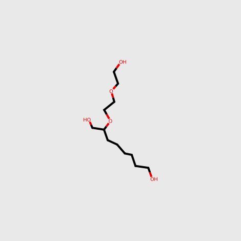 OCCCCCCC(CO)OCCOCCO